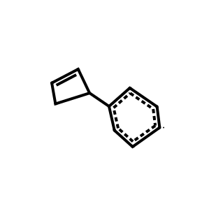 [c]1ccc(C2C=CC2)cc1